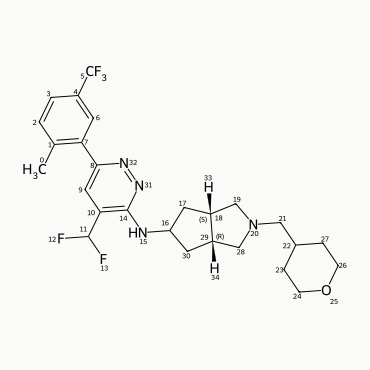 Cc1ccc(C(F)(F)F)cc1-c1cc(C(F)F)c(NC2C[C@@H]3CN(CC4CCOCC4)C[C@@H]3C2)nn1